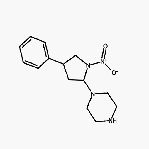 O=[N+]([O-])N1CC(c2ccccc2)CC1N1CCNCC1